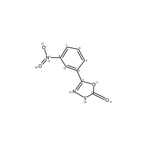 O=c1oc(-c2cccc([N+](=O)[O-])c2)ns1